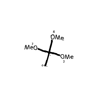 [CH2]C(OC)(OC)OC